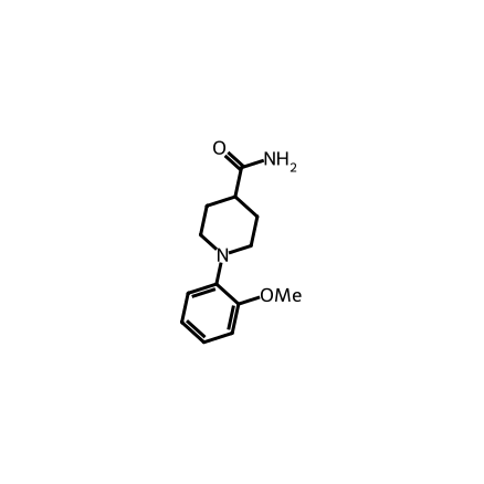 COc1ccccc1N1CCC(C(N)=O)CC1